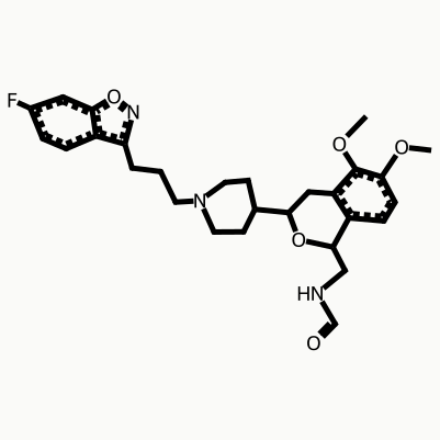 COc1ccc2c(c1OC)CC(C1CCN(CCCc3noc4cc(F)ccc34)CC1)OC2CNC=O